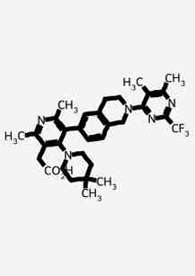 Cc1nc(C(F)(F)F)nc(N2CCc3cc(-c4c(C)nc(C)c(CC(=O)O)c4N4CCC(C)(C)CC4)ccc3C2)c1C